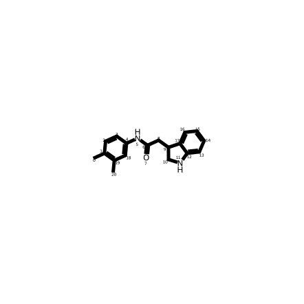 Cc1ccc(NC(=O)CC2CNc3ccccc32)cc1C